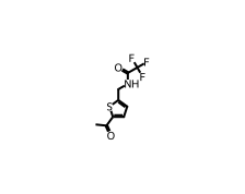 CC(=O)c1ccc(CNC(=O)C(F)(F)F)s1